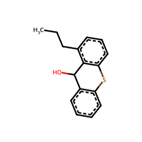 CCCc1cccc2c1C(O)c1ccccc1S2